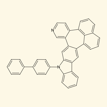 c1ccc(-c2ccc(-n3c4ccccc4c4cc5c(cc43)-c3cnccc3-c3cccc4cccc-5c34)cc2)cc1